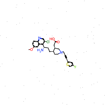 COc1ccc2ncc(Cl)c([C@@H](N)CC[C@@H]3CCN(CC#Cc4cc(F)cs4)C[C@@H]3CC(=O)O)c2c1